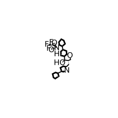 O=S(=O)(Nc1ccccc1-c1ccc2c(c1)OC[C@H](Cc1ccc(-c3ccccc3)cn1)[C@H]2O)C(F)(F)F